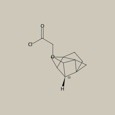 O=C(Cl)COC1[C@H]2C3CC34CCC23CC143